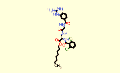 CCCCCCCCOC(=O)[C@H](CNC(=O)CNC(=O)c1cccc(NC(=N)N)c1)NC(=O)c1c(Cl)cccc1Cl